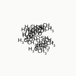 CC(O[Si](C)(O[Si](C)(C)C)O[Si](C)(C)C)(O[Si](C)(O[Si](C)(C)C)O[Si](C)(C)C)[C]([SiH3])O[Si](C)(O[Si](C)(C)C)O[Si](C)(C)C